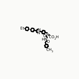 CC[C@H]1CC[C@H](C2CC=C(c3cnc(-c4ccc(CN(CC(=O)O)C(=O)CNC(=O)Cc5ccc(C)cc5)cc4)nc3)CC2)CC1